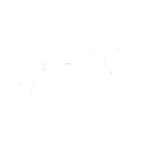 CC(C)=NOCCNC1CC1